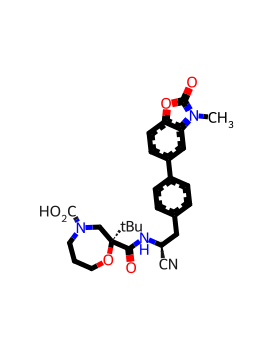 Cn1c(=O)oc2ccc(-c3ccc(C[C@@H](C#N)NC(=O)[C@]4(C(C)(C)C)CN(C(=O)O)CCCO4)cc3)cc21